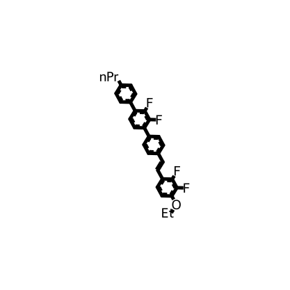 CCCc1ccc(-c2ccc(-c3ccc(/C=C/c4ccc(OCC)c(F)c4F)cc3)c(F)c2F)cc1